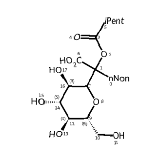 CCCCCCCCCC(OC(=O)C(C)CCC)(C(=O)O)C1O[C@H](CO)[C@@H](O)[C@H](O)[C@H]1O